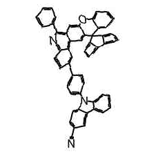 N#Cc1ccc2c(c1)c1ccccc1n2-c1ccc(-c2ccc3nc(-c4ccccc4)c4cc5c(cc4c3c2)C2(c3ccccc3O5)c3ccccc3-c3ccccc32)cc1